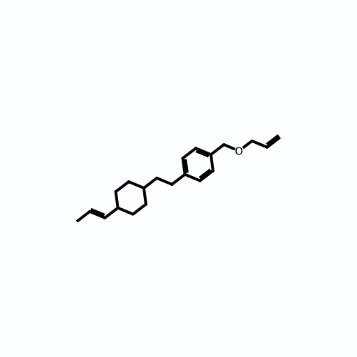 C=CCOCc1ccc(CCC2CCC(C=CC)CC2)cc1